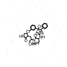 CC(C)CC(NC(=O)OC(c1ccccc1)C(C)(C)c1cccc(Cl)c1)C(=O)NC(CO)CC1CCNC1=O